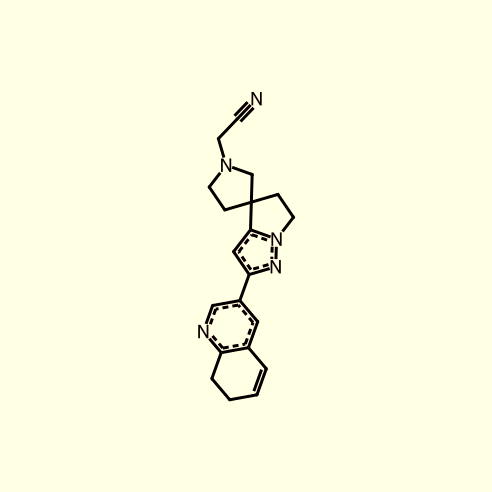 N#CCN1CCC2(CCn3nc(-c4cnc5c(c4)C=CCC5)cc32)C1